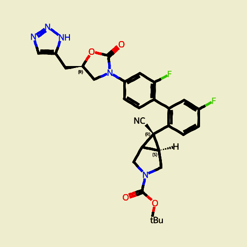 CC(C)(C)OC(=O)N1CC2[C@H](C1)[C@@]2(C#N)c1ccc(F)cc1-c1ccc(N2C[C@@H](Cc3cnn[nH]3)OC2=O)cc1F